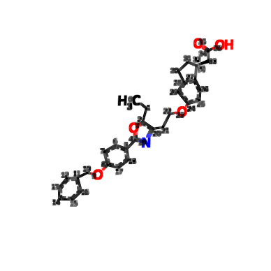 CCc1oc(-c2ccc(OCc3ccccc3)cc2)nc1CCOc1ccc2c(c1)CC[C@H]2CC(=O)O